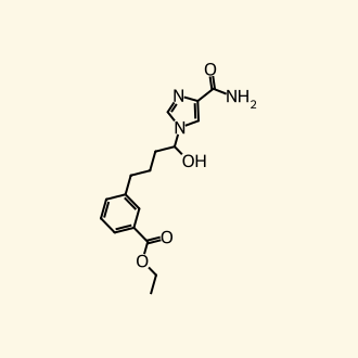 CCOC(=O)c1cccc(CCCC(O)n2cnc(C(N)=O)c2)c1